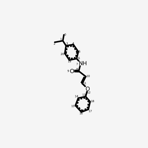 CC(C)c1ccc(NC(=O)C=COc2ccccc2)cc1